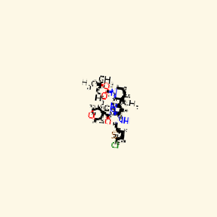 CC(C)(C)OC(=O)N1CCCC(C)(c2cc(NCc3ccc(Cl)s3)n(C(=O)C3(C)CCOCC3)n2)C1